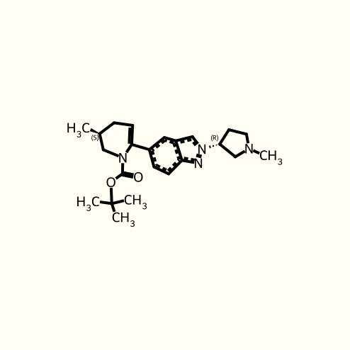 C[C@H]1CC=C(c2ccc3nn([C@@H]4CCN(C)C4)cc3c2)N(C(=O)OC(C)(C)C)C1